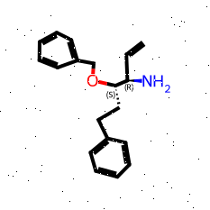 C=C[C@@H](N)[C@H](CCc1ccccc1)OCc1ccccc1